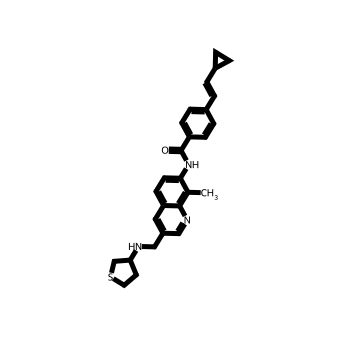 Cc1c(NC(=O)c2ccc(/C=C/C3CC3)cc2)ccc2cc(CNC3CCSC3)cnc12